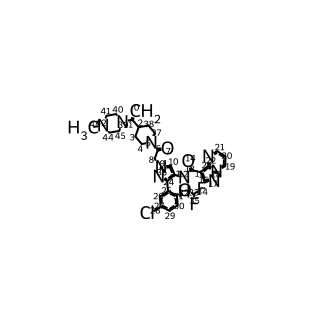 C=C(C1CCN(C(=O)Cn2cc(NC(=O)c3cnn4cccnc34)c(-c3cc(Cl)ccc3OC(F)F)n2)CC1)N1CCN(C)CC1